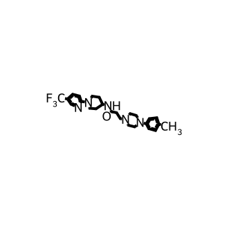 Cc1ccc(N2CCN(CCC(=O)NC3CCN(c4ccc(C(F)(F)F)cn4)CC3)CC2)cc1